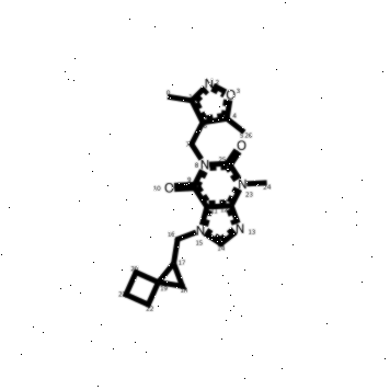 Cc1noc(C)c1Cn1c(=O)c2c(ncn2CC2CC23CCC3)n(C)c1=O